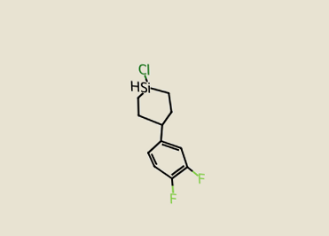 Fc1ccc(C2CC[SiH](Cl)CC2)cc1F